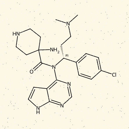 CN(C)CC[C@H](c1ccc(Cl)cc1)N(C(=O)C1(N)CCNCC1)c1ncnc2[nH]ccc12